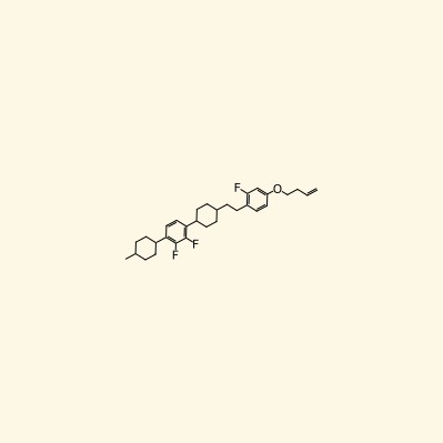 C=CCCOc1ccc(CCC2CCC(c3ccc(C4CCC(C)CC4)c(F)c3F)CC2)c(F)c1